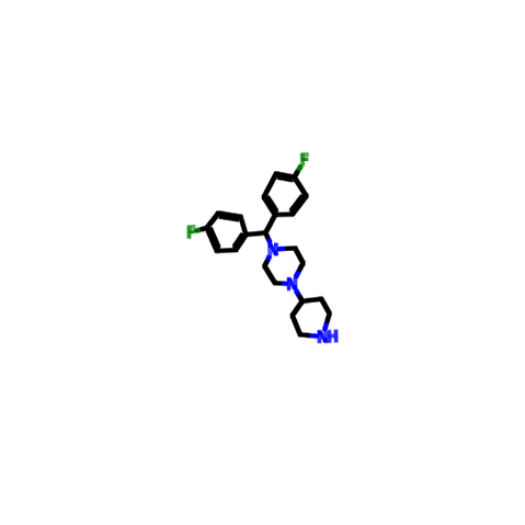 Fc1ccc(C(c2ccc(F)cc2)N2CCN(C3CCNCC3)CC2)cc1